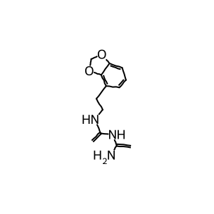 C=C(N)NC(=C)NCCc1cccc2c1OCO2